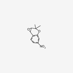 CC1(C)Oc2cc([N+](=O)[O-])ccc2C2OC21